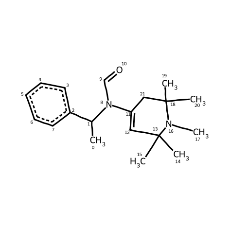 CC(c1ccccc1)N(C=O)C1=CC(C)(C)N(C)C(C)(C)C1